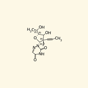 CC#C[C@@]1(F)C(O)[C@@H]([C@@H](C)O)O[C@H]1n1ncc(=O)[nH]c1=O